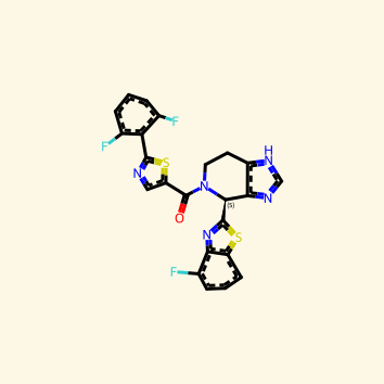 O=C(c1cnc(-c2c(F)cccc2F)s1)N1CCc2[nH]cnc2[C@H]1c1nc2c(F)cccc2s1